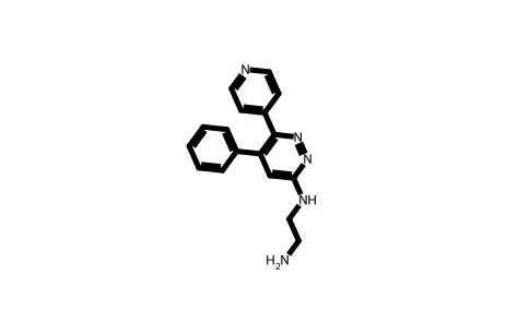 NCCNc1cc(-c2ccccc2)c(-c2ccncc2)nn1